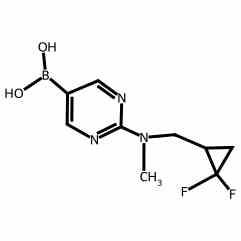 CN(CC1CC1(F)F)c1ncc(B(O)O)cn1